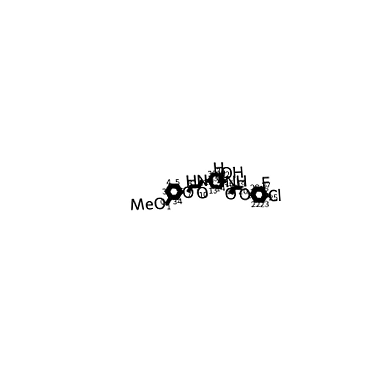 COCc1cccc(OCC(=O)NC23CCC(NC(=O)COc4ccc(Cl)c(F)c4)(CC2)[C@@H](O)C3)c1